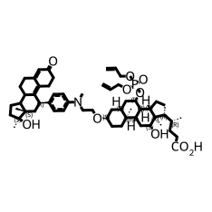 C=CCOP(=O)(OCC=C)O[C@@H]1C[C@@H]2C[C@@H](OCCN(C)c3ccc([C@H]4C[C@@]5(C)C(CC[C@]5(C)O)C5CCC6=CC(=O)CCC6=C54)cc3)CC[C@]2(C)[C@H]2C[C@H](O)[C@]3(C)[C@@H]([C@H](C)CCC(=O)O)CC[C@H]3[C@H]12